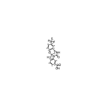 CC12CC(NC(=O)N1c1cccc(C(=O)O)c1)c1cc(C(F)(F)F)ccc1O2